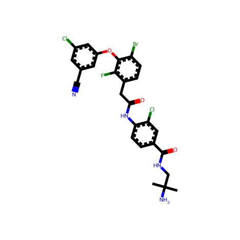 CC(C)(N)CNC(=O)c1ccc(NC(=O)Cc2ccc(Br)c(Oc3cc(Cl)cc(C#N)c3)c2F)c(Cl)c1